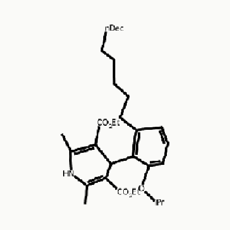 CCCCCCCCCCCCCCCc1cccc(OC(C)C)c1C1C(C(=O)OCC)=C(C)NC(C)=C1C(=O)OCC